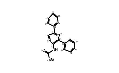 CCC(C)C(=O)Nc1ncc(-c2ccccc2)nc1-c1ccccc1